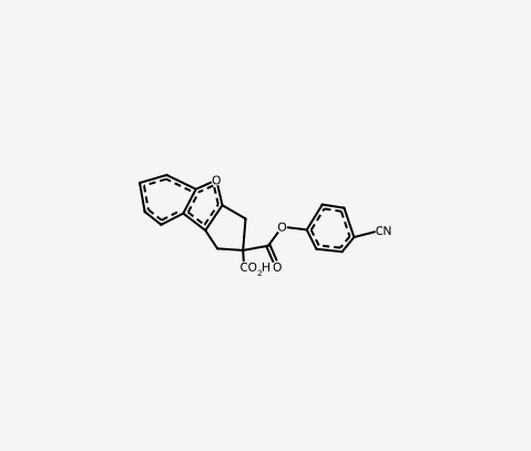 N#Cc1ccc(OC(=O)C2(C(=O)O)Cc3oc4ccccc4c3C2)cc1